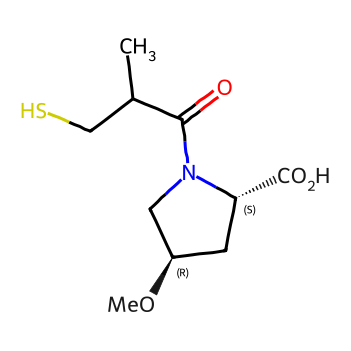 CO[C@@H]1C[C@@H](C(=O)O)N(C(=O)C(C)CS)C1